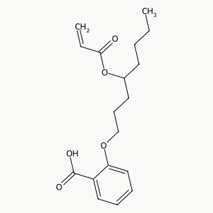 C=CC(=O)OC(CCCC)CCCOc1ccccc1C(=O)O